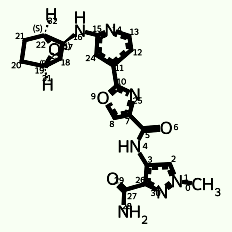 Cn1cc(NC(=O)c2coc(-c3ccnc(N[C@H]4C[C@H]5CC[C@@H]4O5)c3)n2)c(C(N)=O)n1